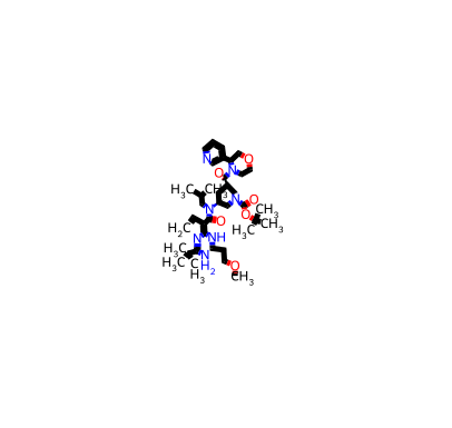 C=C/C(C(=O)N(CC(C)C)[C@H]1C[C@@H](C(=O)N2CCOCC2c2cccnc2)CN(C(=O)OC(C)(C)C)C1)=C(\N=C(/N)C(C)(C)C)NCCCOC